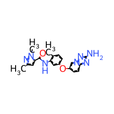 Cc1cc(C(=O)Nc2cc(Oc3ccc4nc(N)nn4c3)ccc2C)n(C)n1